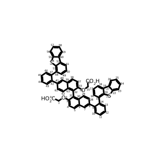 O=C(O)COc1ccc2cc(-c3ccccc3-c3cccc4c3sc3ccccc34)ccc2c1-c1c(OCC(=O)O)ccc2cc(-c3ccccc3-c3cccc4c3sc3ccccc34)ccc12